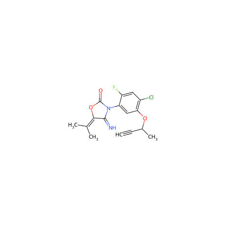 C#CC(C)Oc1cc(N2C(=N)C(=C(C)C)OC2=O)c(F)cc1Cl